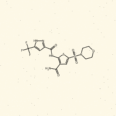 NC(=O)c1cc(S(=O)(=O)N2CCOCC2)sc1NC(=O)c1cc(C(F)(F)F)[nH]n1